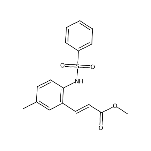 COC(=O)/C=C/c1cc(C)ccc1NS(=O)(=O)c1ccccc1